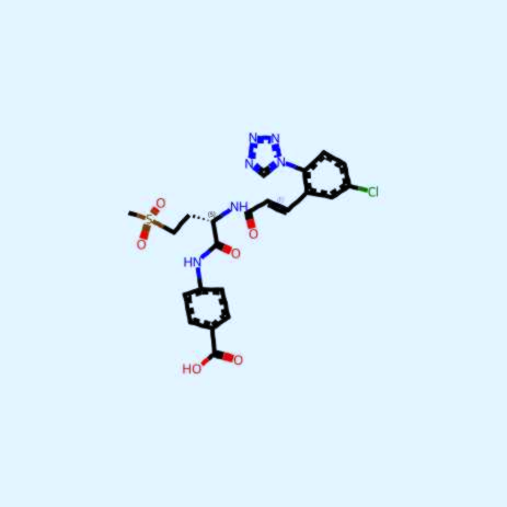 CS(=O)(=O)CC[C@H](NC(=O)/C=C/c1cc(Cl)ccc1-n1cnnn1)C(=O)Nc1ccc(C(=O)O)cc1